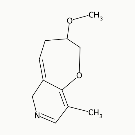 COC1CC=C2CN=CC(C)=C2OC1